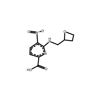 O=C(O)c1ccc([N+](=O)[O-])c(NCC2CCO2)n1